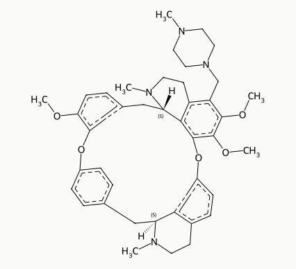 COc1ccc2cc1Oc1ccc(cc1)C[C@H]1c3cc(ccc3CCN1C)Oc1c(OC)c(OC)c(CN3CCN(C)CC3)c3c1[C@H](C2)N(C)CC3